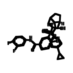 O=C(Nc1ccc(F)c(F)c1)c1ccc(Cl)c(S(=O)(=O)C2CC3CC[C@@H](C2)[C@@]3(O)C(O)C(O)c2ccc(C3CC3)cn2)c1